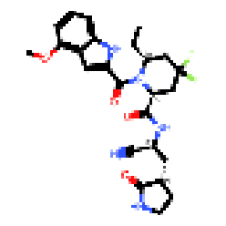 CC[C@H]1CC(F)(F)C[C@@H](C(=O)N[C@H](C#N)C[C@@H]2CCNC2=O)N1C(=O)c1cc2c(OC)cccc2[nH]1